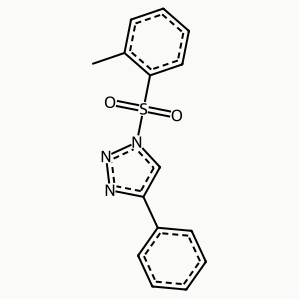 Cc1ccccc1S(=O)(=O)n1cc(-c2ccccc2)nn1